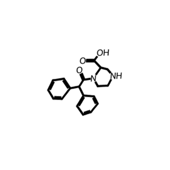 O=C(O)C1CNCCN1C(=O)C(c1ccccc1)c1ccccc1